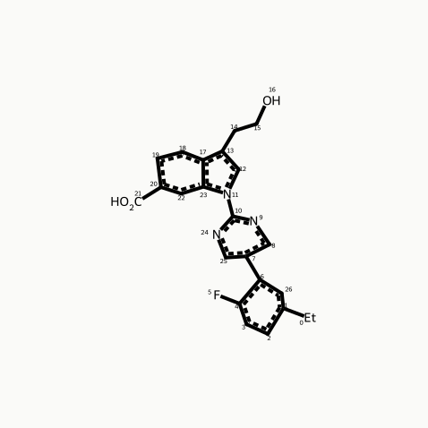 CCc1ccc(F)c(-c2cnc(-n3cc(CCO)c4ccc(C(=O)O)cc43)nc2)c1